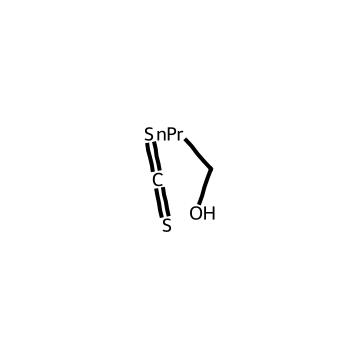 CCCCO.S=C=S